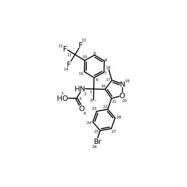 [CH2]C(NC(=O)O)(c1cccc(C(F)(F)F)c1)c1c(C)noc1-c1ccc(Br)cc1